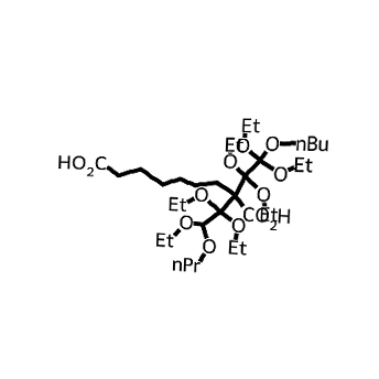 CCCCOC(OCC)(OCC)C(OCC)(OCC)C(CCCCCCC(=O)O)(C(=O)O)C(OCC)(OCC)C(OCC)OCCC